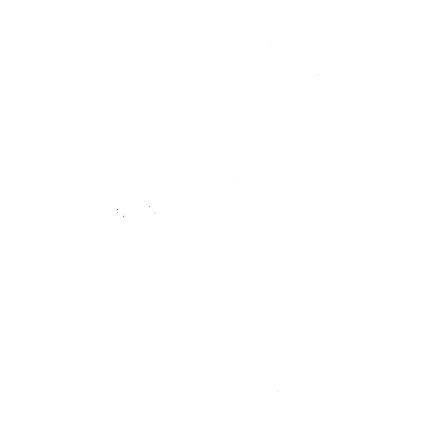 O=C(c1ccc(-c2ccc(S(=O)(=O)[O-])cc2)c(S(=O)(=O)[O-])c1)c1cc(Cl)ccc1Cl.[Na+].[Na+]